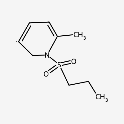 CCCS(=O)(=O)N1C[C]=CC=C1C